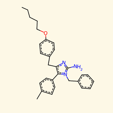 CCCCCOc1ccc(Cc2nc(N)n(Cc3ccccc3)c2-c2ccc(C)cc2)cc1